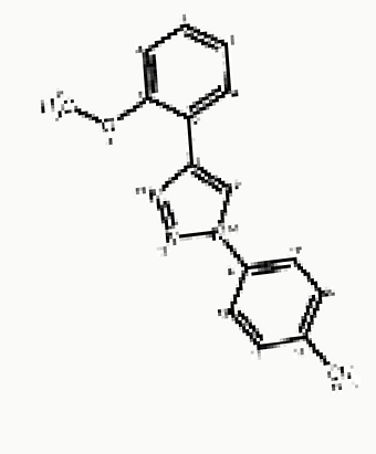 COc1ccccc1-c1cn(-c2ccc(C)cc2)nn1